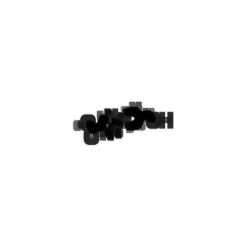 COC(=O)c1cnc(N2CCC(CO)CC2)nn1